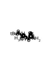 CCCN(Cc1ccc(CNC(=O)OC(C)(C)C)c(C)c1)C(=O)C1=Cc2sccc2N=C(N)C1